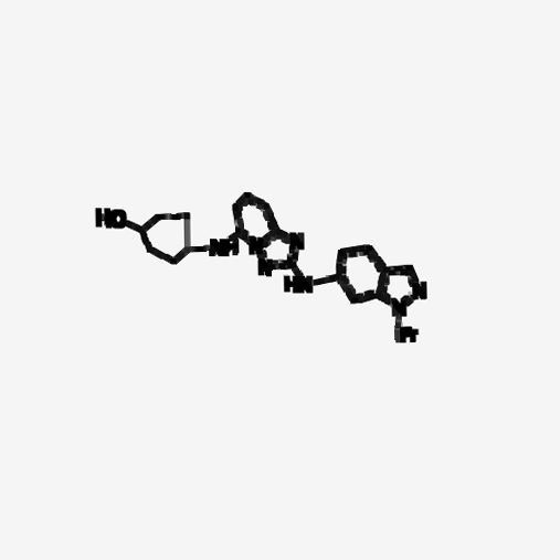 CC(C)n1ncc2ccc(Nc3nc4cccc(NC5CCC(O)CC5)n4n3)cc21